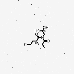 CCC(=O)N(C[C@H](O)S)C(=O)[C@@H](C)CCCl